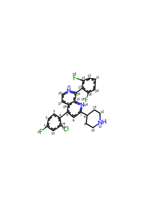 Fc1ccc(-c2cc(C3CCNCC3)nc3c(-c4c(F)cccc4F)nccc23)c(Cl)c1